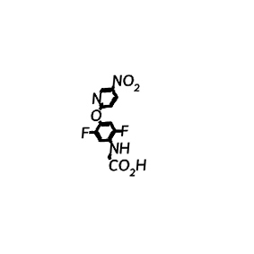 O=C(O)CNc1cc(F)c(Oc2ccc([N+](=O)[O-])cn2)cc1F